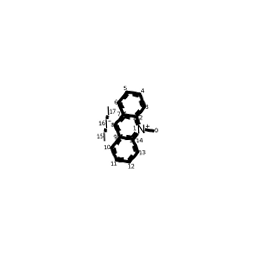 C[n+]1c2ccccc2cc2ccccc21.I[I-]I